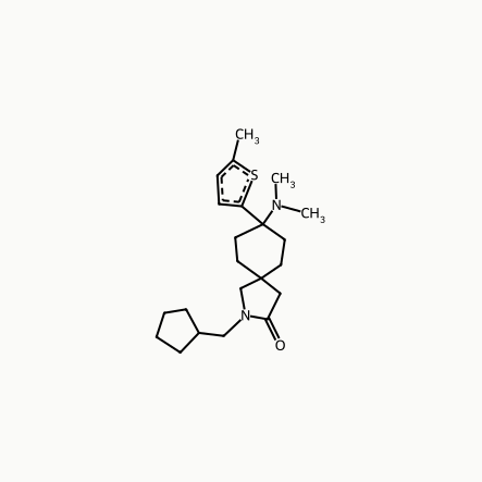 Cc1ccc(C2(N(C)C)CCC3(CC2)CC(=O)N(CC2CCCC2)C3)s1